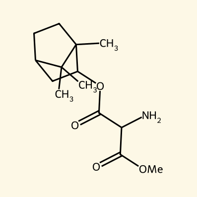 COC(=O)C(N)C(=O)OC1CC2CCC1(C)C2(C)C